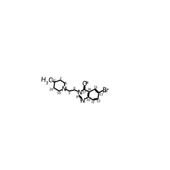 CC1CCN(CCn2cnc3ccc(Br)cc3c2=O)CC1